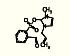 C=CCN1C=CN(C)C1OS(=O)(=O)c1ccccc1C=O